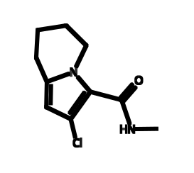 CNC(=O)c1c(Cl)cc2n1CCCC2